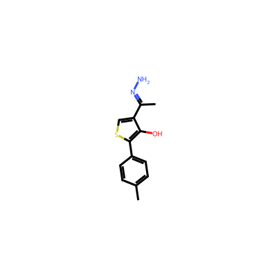 C/C(=N\N)c1csc(-c2ccc(C)cc2)c1O